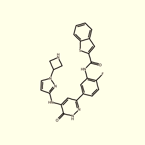 O=C(Nc1cc(-c2cc(Nc3ccn(C4CNC4)n3)c(=O)[nH]n2)ccc1F)c1cc2ccccc2s1